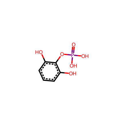 O=P(O)(O)Oc1c(O)cccc1O